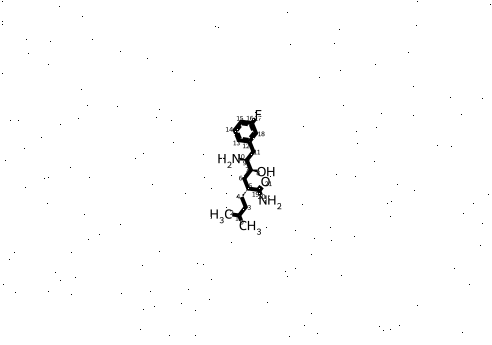 CC(C)CC[C@H](C[C@H](O)[C@@H](N)Cc1cccc(F)c1)C(N)=O